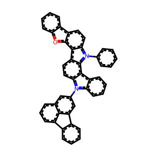 c1ccc(-n2c3ccc4c5ccccc5oc4c3c3ccc4c(c5ccccc5n4-c4cc5c6c(cccc6c4)-c4ccccc4-5)c32)cc1